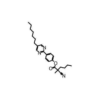 CCCCCCCc1cnc(-c2ccc(OC(=O)C(C)(C#N)CCCC)cc2)nc1